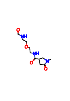 CN1CC(C(=O)NCCOCCNC=O)CC1=O